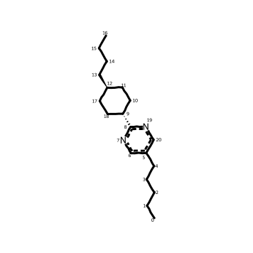 CCCCCc1cnc([C@H]2CC[C@H](CCCC)CC2)nc1